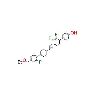 CCOCc1ccc(C2=CCC(/C=C/C3=CCC(c4ccc(O)cc4)C(F)=C3F)CC2)c(F)c1